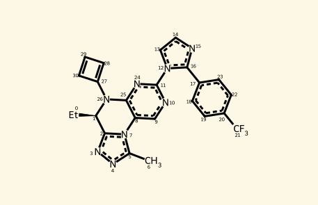 CC[C@@H]1c2nnc(C)n2-c2cnc(-n3ccnc3-c3ccc(C(F)(F)F)cc3)nc2N1C1=CC=C1